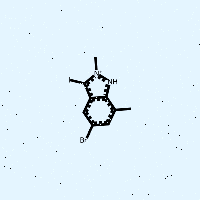 Cc1cc(Br)cc2c(I)[n+](C)[nH]c12